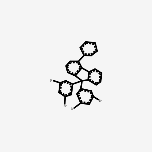 Brc1cc(Br)cc(C2(c3cc(Br)cc(Br)c3)c3ccccc3-c3c(-c4ccccc4)cccc32)c1